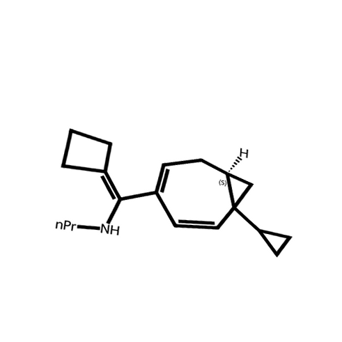 CCCNC(C1=CC[C@H]2CC2(C2CC2)C=C1)=C1CCC1